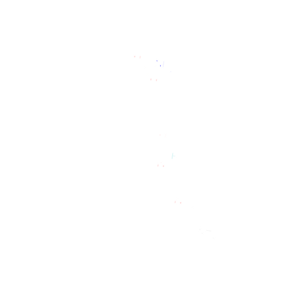 C=CCOCCOc1ccc2c(c1OC(F)F)-c1ccc(CS(N)(=O)=O)cc1C(c1cccc(F)c1)O2